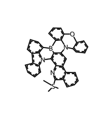 CS(C)(C)c1nc2c3c4c(cc2c2ccccc12)N1c2ccccc2Oc2cccc(c21)B4c1cccc2c4ccccc4n-3c12